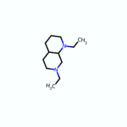 CCN1CCC2CCCN(CC)C2C1